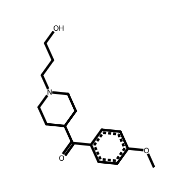 COc1ccc(C(=O)C2CCN(CCCO)CC2)cc1